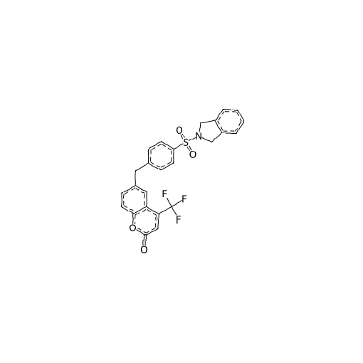 O=c1cc(C(F)(F)F)c2cc(Cc3ccc(S(=O)(=O)N4Cc5ccccc5C4)cc3)ccc2o1